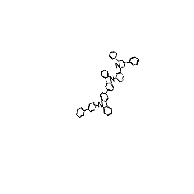 c1ccc(-c2ccc(-n3c4ccccc4c4cc(-c5ccc6c(c5)c5ccccc5n6-c5cccc(-c6cc(-c7ccccc7)cc(-c7ccccc7)n6)c5)ccc43)cc2)cc1